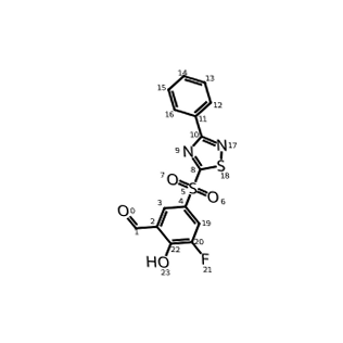 O=Cc1cc(S(=O)(=O)c2nc(-c3ccccc3)ns2)cc(F)c1O